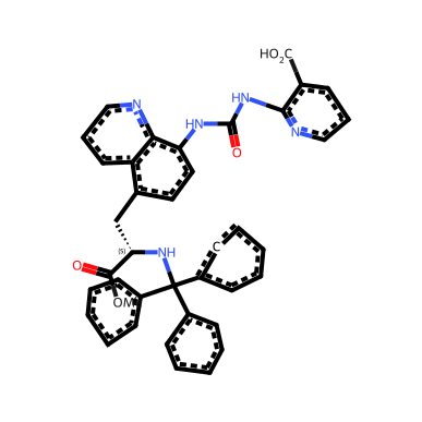 COC(=O)[C@H](Cc1ccc(NC(=O)Nc2ncccc2C(=O)O)c2ncccc12)NC(c1ccccc1)(c1ccccc1)c1ccccc1